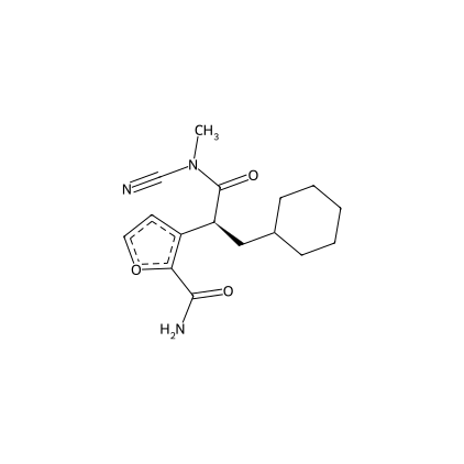 CN(C#N)C(=O)[C@@H](CC1CCCCC1)c1ccoc1C(N)=O